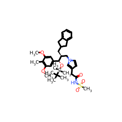 COc1cc([C@@H](O[Si](C)(C)C(C)(C)C)[C@@H](CC2Cc3ccccc3C2)Cn2ccc(CC(=O)NS(C)(=O)=O)c2)cc(OC)c1C